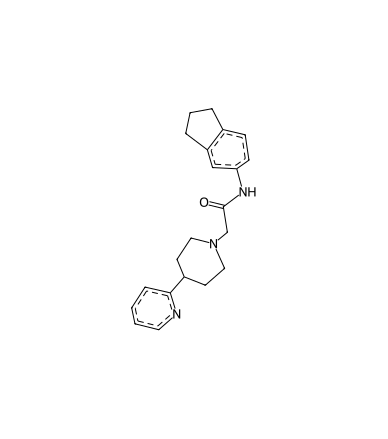 O=C(CN1CCC(c2ccccn2)CC1)Nc1ccc2c(c1)CCC2